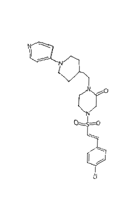 O=C1CN(S(=O)(=O)/C=C/c2ccc(Cl)cc2)CCN1CC1CCN(c2ccncc2)CC1